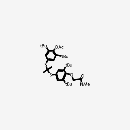 CNC(=O)COc1c(C(C)(C)C)cc(SC(C)(C)Sc2cc(C(C)(C)C)c(OC(C)=O)c(C(C)(C)C)c2)cc1C(C)(C)C